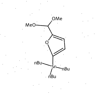 CCC[CH2][Sn]([CH2]CCC)([CH2]CCC)[c]1ccc(C(OC)OC)o1